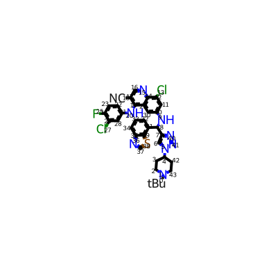 CC(C)(C)N1CCC(n2cc(C(Nc3cc(Cl)c4ncc(C#N)c(Nc5ccc(F)c(Cl)c5)c4c3)c3cccc4ncsc34)nn2)CC1